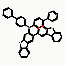 c1ccc(-c2ccc(N(c3ccc(-c4ccccc4)cc3)c3cc4oc5ccccc5c4cc3-c3ccc4oc5ccccc5c4c3)cc2)cc1